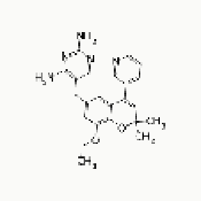 CCOc1cc(Cc2cnc(N)nc2N)cc2c1OC(C)(C)C=C2c1cccnc1